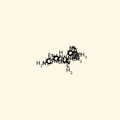 C=Cc1cnc(Nc2cc(CC)c(N3CCC(N)CC3)nc2OC)nc1Nc1ccc2nccnc2c1N(C)S(C)(=O)=O